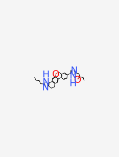 CCCCc1nc2c([nH]1)-c1cc3c(cc1CC2)-c1ccc(-c2cnc(CC(=O)CC)[nH]2)cc1CO3